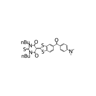 CCCCN1C(=O)C(=C2Sc3ccc(C(=O)c4ccc(N(C)C)cc4)cc3S2)C(=O)N(CCCC)C1=S